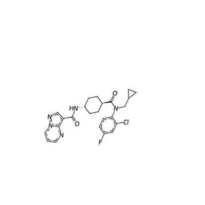 O=C(N[C@H]1CC[C@H](C(=O)N(CC2CC2)c2ccc(F)cc2Cl)CC1)c1cnn2cccnc12